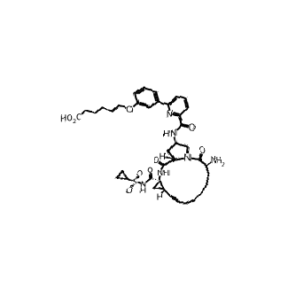 N[C@H]1CCCCC/C=C\[C@@H]2C[C@@]2(C(=O)NS(=O)(=O)C2CC2)NC(=O)[C@@H]2C[C@@H](NC(=O)c3cccc(-c4cccc(OCCCCCC(=O)O)c4)n3)CN2C1=O